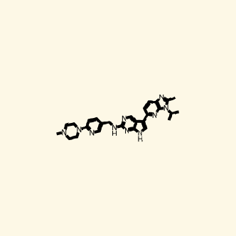 Cc1nc2ccc(-c3c[nH]c4nc(NCc5ccc(N6CCN(C)CC6)nc5)ncc34)nc2n1C(C)C